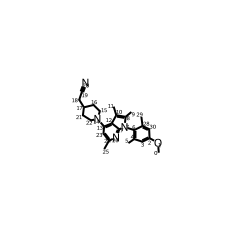 COc1cc(C)c(-n2c(C)c(C)c3c(N4CCC(CC#N)CC4)cc(C)nc32)c(C)c1